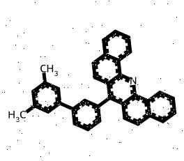 Cc1cc(C)cc(-c2cccc(-c3c4ccc5ccccc5c4nc4c3ccc3ccccc34)c2)c1